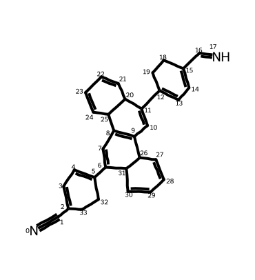 N#CC1=CC=C(C2=CC3=C(C=C(C4=CC=C(C=N)CC4)C4C=CC=CC34)C3C=CC=CC23)CC1